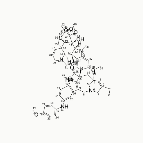 CCC1=C[C@H]2CN(C1)Cc1c([nH]c3ccc(Nc4ccc(OC)cc4)cc13)[C@@](C(=O)OC)(C1C=C3C(=CC1OC)N(C)[C@H]1[C@@](O)(C(=O)OC)[C@H](OC(C)=O)[C@]4(CC)C=CCN5CC[C@]31[C@@H]54)C2